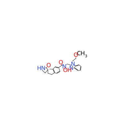 COCCn1c(CN(O)C(=O)c2ccc3c(c2)C[C@@]2(CCNC2=O)CC3)nc2ccccc21